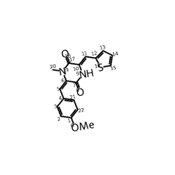 COc1ccc(C=c2c(=O)[nH]c(=Cc3cccs3)c(=O)n2C)cc1